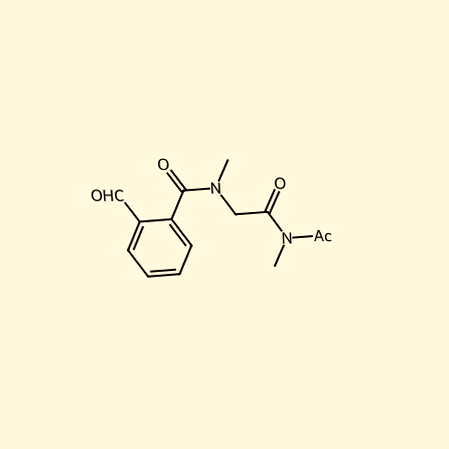 CC(=O)N(C)C(=O)CN(C)C(=O)c1ccccc1C=O